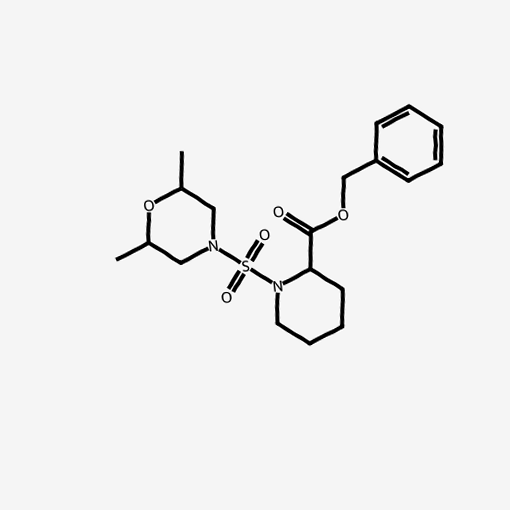 CC1CN(S(=O)(=O)N2CCCCC2C(=O)OCc2ccccc2)CC(C)O1